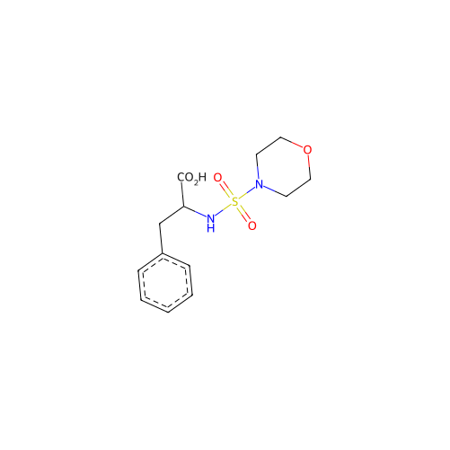 O=C(O)C(Cc1ccccc1)NS(=O)(=O)N1CCOCC1